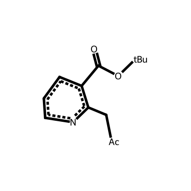 CC(=O)Cc1ncccc1C(=O)OC(C)(C)C